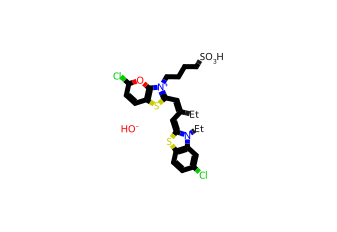 CCC(=Cc1sc2c([n+]1CCCCS(=O)(=O)O)OC(Cl)C=C2)C=C1Sc2ccc(Cl)cc2N1CC.[OH-]